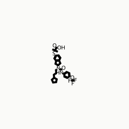 CC(C)(Sc1ccc2c(c1)CC(N(CCCC1CCCC1)C(=O)Nc1ccc(OC(F)(F)F)cc1)C2)C(=O)O